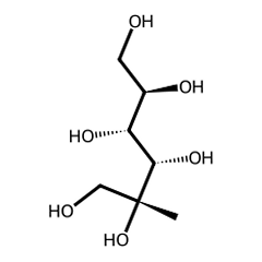 C[C@@](O)(CO)[C@@H](O)[C@H](O)[C@H](O)CO